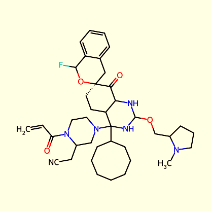 C=CC(=O)N1CCN(C2(C3CCCCCCC3)NC(OCC3CCCN3C)NC3C(=O)[C@]4(CCC32)Cc2ccccc2C(F)O4)CC1CC#N